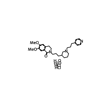 COc1cc2c(cc1OC)C(=O)N(CCCC1CCCN(CCCc3ccncc3)C1)CC2.Cl.Cl.O.O